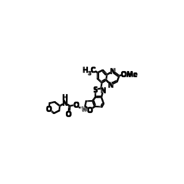 COc1cnc2c(-c3nc4ccc5c(c4s3)C[C@@H](COC(=O)NC3CCOCC3)O5)cc(C)cc2n1